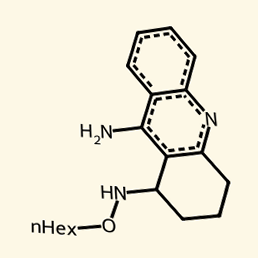 CCCCCCONC1CCCc2nc3ccccc3c(N)c21